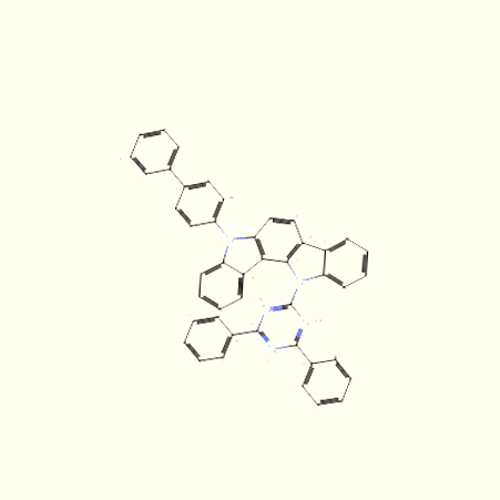 c1ccc(-c2ccc(-n3c4ccccc4c4c3ccc3c5ccccc5n(-c5nc(-c6ccccc6)nc(-c6ccccc6)n5)c34)cc2)cc1